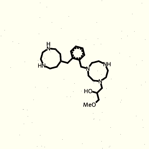 COCC(O)CN1CCNCCN(Cc2ccccc2CC2CCNCCNCC2)CC1